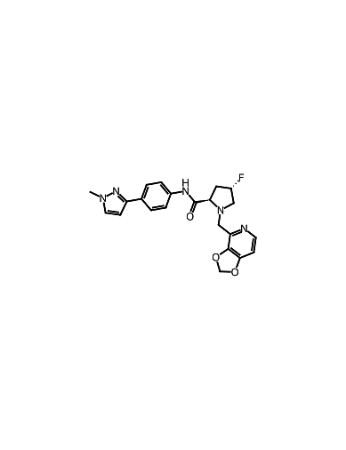 Cn1ccc(-c2ccc(NC(=O)[C@H]3C[C@H](F)CN3Cc3nccc4c3OCO4)cc2)n1